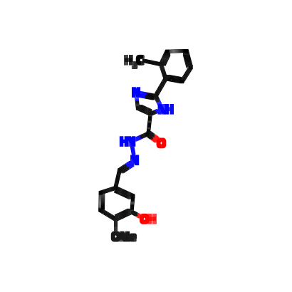 COc1ccc(C=NNC(=O)c2cnc(-c3ccccc3C)[nH]2)cc1O